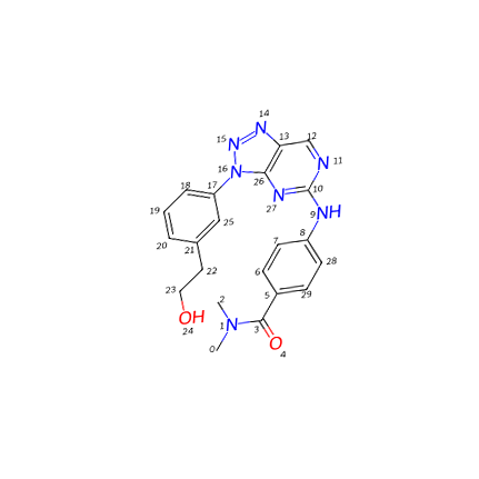 CN(C)C(=O)c1ccc(Nc2ncc3nnn(-c4cccc(CCO)c4)c3n2)cc1